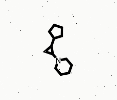 [CH]1CCN(C2CC2C2CCCC2)CC1